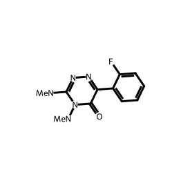 CNc1nnc(-c2ccccc2F)c(=O)n1NC